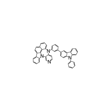 c1ccc(-n2c3ccccc3c3cc(-c4cccc(-n5c6cccc7ccc8c9ccccc9n(c9cnccc95)c8c76)c4)ccc32)cc1